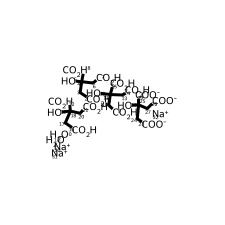 O.O.O=C(O)CC(O)(CC(=O)O)C(=O)O.O=C(O)CC(O)(CC(=O)O)C(=O)O.O=C(O)CC(O)(CC(=O)O)C(=O)O.O=C([O-])CC(O)(CC(=O)[O-])C(=O)[O-].[Na+].[Na+].[Na+]